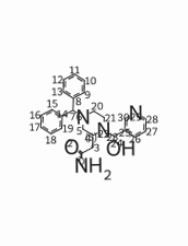 NC(=O)C[C@H]1CN(C(c2ccccc2)c2ccccc2)CCN1C(O)c1cccnc1